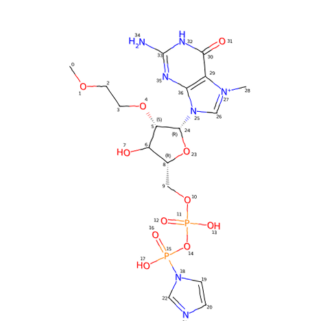 COCCO[C@H]1C(O)[C@@H](COP(=O)(O)OP(=O)(O)n2ccnc2)O[C@H]1n1c[n+](C)c2c(=O)[nH]c(N)nc21